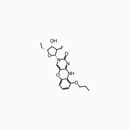 CCCOc1cccc2c1Nc1nc(=O)n([C@@H]3O[C@H](CC)[C@H](O)C3F)cc1O2